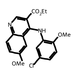 CCOC(=O)c1cnc2ccc(OC)cc2c1Nc1cc(Cl)ccc1OC